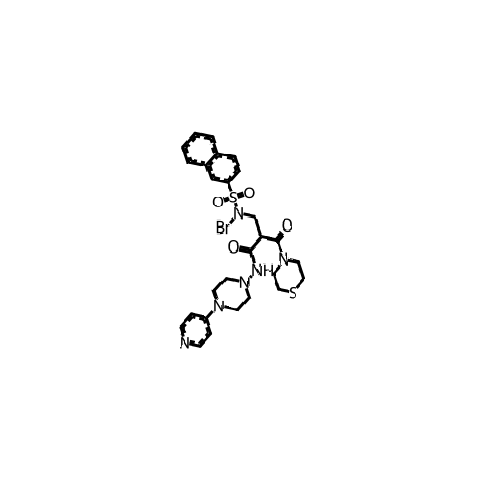 O=C(NN1CCN(c2ccncc2)CC1)C(CN(Br)S(=O)(=O)c1ccc2ccccc2c1)C(=O)N1CCSCC1